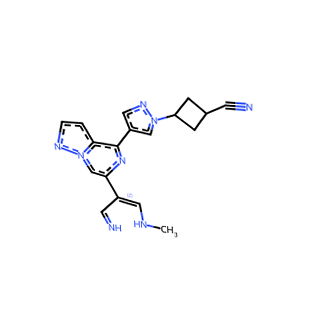 CN/C=C(\C=N)c1cn2nccc2c(-c2cnn(C3CC(C#N)C3)c2)n1